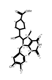 COC(=O)C1CCC(C(O)C2N(C)c3c(n(C)c(=O)[nH]c3=O)N2Cc2ccc(Cl)c(Cl)c2)CC1